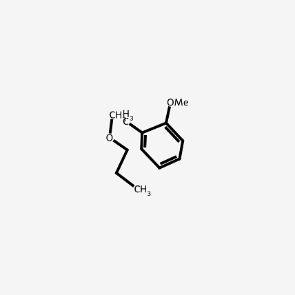 CCCOC.COc1ccccc1C